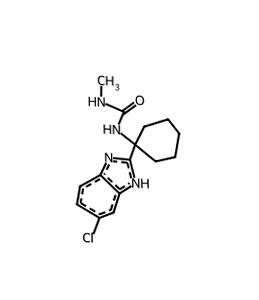 CNC(=O)NC1(c2nc3ccc(Cl)cc3[nH]2)CCCCC1